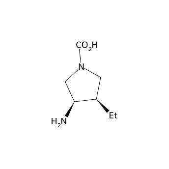 CC[C@@H]1CN(C(=O)O)C[C@@H]1N